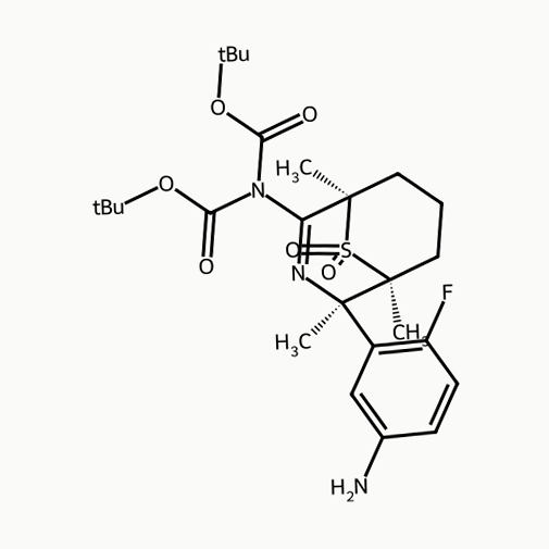 CC(C)(C)OC(=O)N(C(=O)OC(C)(C)C)C1=N[C@](C)(c2cc(N)ccc2F)[C@]2(C)CCC[C@@]1(C)S2(=O)=O